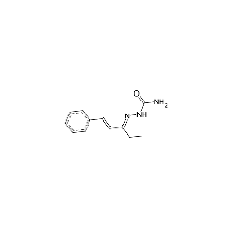 CCC(C=Cc1ccccc1)=NNC(N)=O